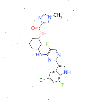 Cn1cnc(C(=O)B[C@@H]2CCC[C@H](Nc3nc(-c4c[nH]c5c(F)cc(Cl)cc45)ncc3F)C2)c1